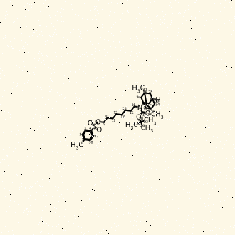 Cc1ccc(S(=O)(=O)OCCCCCCCCN(C(=O)OC(C)(C)C)[C@]23C[C@@H]4C[C@@](C)(C[C@@](C)(C4)C2)C3)cc1